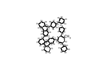 CC1=C(c2ccccc2)C=C(c2ccc3c(c2)c2c(c4cccc(-c5ccc6c(c5)c5ccccc5n6-c5ccc(-c6ccccc6)cc5)c43)C=CCC2)C=C(c2ccccc2)C1